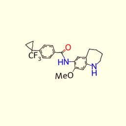 COc1cc2c(cc1NC(=O)c1ccc(C3(C(F)(F)F)CC3)cc1)CCCCN2